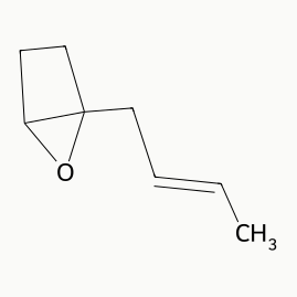 CC=CCC12CCC1O2